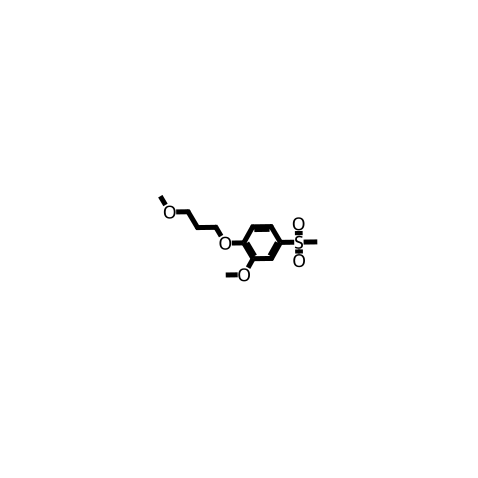 COCCCOc1ccc(S(C)(=O)=O)cc1OC